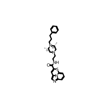 C[C@@H]1CN(CCNC(=O)C2=Cc3cnc4cccc(n34)S2)C[C@H](C)N1CCCc1ccccc1